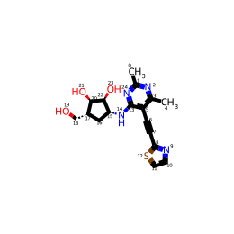 Cc1nc(C)c(C#Cc2nccs2)c(N[C@@H]2C[C@H](CO)[C@@H](O)[C@H]2O)n1